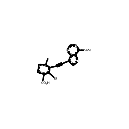 CCc1c(C(=O)O)ccc(C)c1C#Cc1csc2c(SC)ncnc12